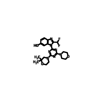 CC1(C)CN(c2nc(N3CCOCC3)nc(-n3c(C(F)F)nc4ccc(O)cc43)n2)CCO1